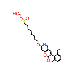 CCc1cccc(C)c1-c1cc2cnc(OCCCCCCCCS(=O)OCO)cc2oc1=O